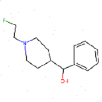 OC(c1ccccc1)C1CCN(CCF)CC1